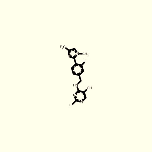 Cn1cc(C(F)(F)F)nc1-c1ccc(CNc2nc(Cl)ncc2O)cc1F